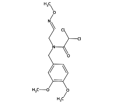 CON=CCN(Cc1ccc(OC)c(OC)c1)C(=O)C(Cl)Cl